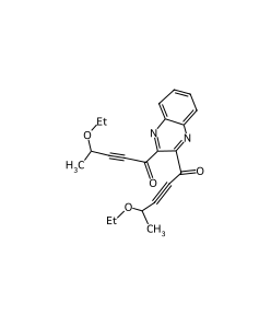 CCOC(C)C#CC(=O)c1nc2ccccc2nc1C(=O)C#CC(C)OCC